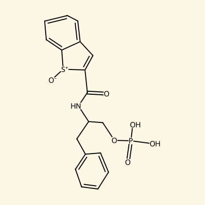 O=C(NC(COP(=O)(O)O)Cc1ccccc1)c1cc2ccccc2[s+]1[O-]